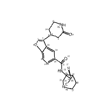 O=C1CN(c2coc3cnc(C(=O)N[C@H]4CN5CCC4CC5)cc23)CCN1